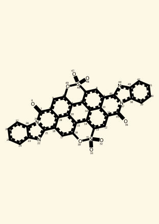 O=c1c2cc3c4c5c(cc6c7c(cc8c(c9c(cc(c2c94)c2nc4ccccc4n12)OS8(=O)=O)c57)c(=O)n1c2ccccc2nc61)S(=O)(=O)O3